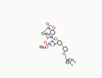 COCCCN1C(=O)COc2ccc(N(C(=O)[C@H]3CN(C(=O)OC(C)(C)C)CC[C@@H]3c3cccc(-c4cccc(OCCN(C)C)c4)c3)C3CC3)cc21